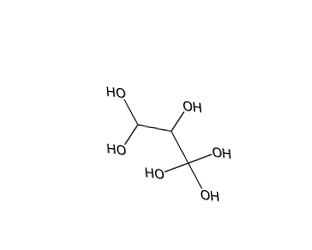 OC(O)C(O)C(O)(O)O